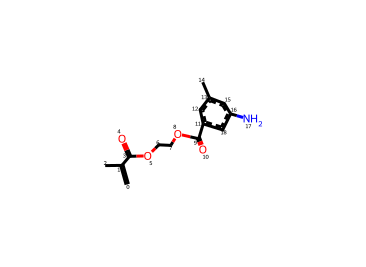 C=C(C)C(=O)OCCOC(=O)c1cc(C)cc(N)c1